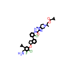 CC(COC(=O)C1CC1)N1CCc2c(nc(C(=O)Nc3cccc(-c4cccc5c4CCC5Oc4cc(C5CC5)c(CN)c(F)c4Cl)c3Cl)n2C)C1